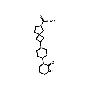 COC(=O)N1CCC2(CC(N3CCC(C4CCCNC4=O)CC3)C2)C1